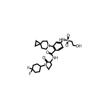 O=C(NC1CCN(C2CCC(F)(F)CC2)C1=O)c1ccc(NS(=O)(=O)CCO)cc1N1CCC2(CC1)CC2